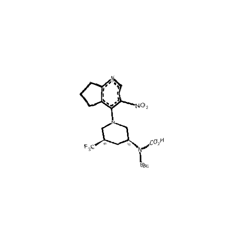 CC(C)(C)N(C(=O)O)[C@H]1C[C@@H](C(F)(F)F)CN(c2c([N+](=O)[O-])cnc3c2CCC3)C1